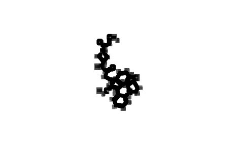 C=CC(=O)N1CC(NC(=O)Cn2c(C)c(-c3ccccc3N3CCCC3)c3cc(Cl)ccc32)C1